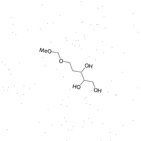 COCOCCC(O)C(O)CO